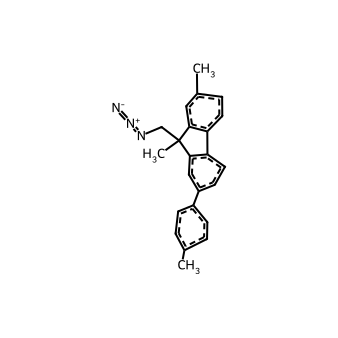 Cc1ccc(-c2ccc3c(c2)C(C)(CN=[N+]=[N-])c2cc(C)ccc2-3)cc1